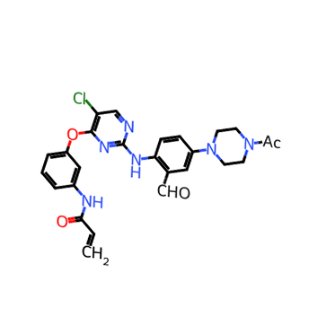 C=CC(=O)Nc1cccc(Oc2nc(Nc3ccc(N4CCN(C(C)=O)CC4)cc3C=O)ncc2Cl)c1